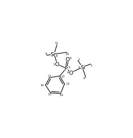 C[Si](C)(C)OP(=O)(O[Si](C)(C)C)c1ccccc1